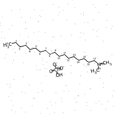 CCCCCCCCCCCCCCCCCCN(C)C.[O-][Cl+3]([O-])([O-])O